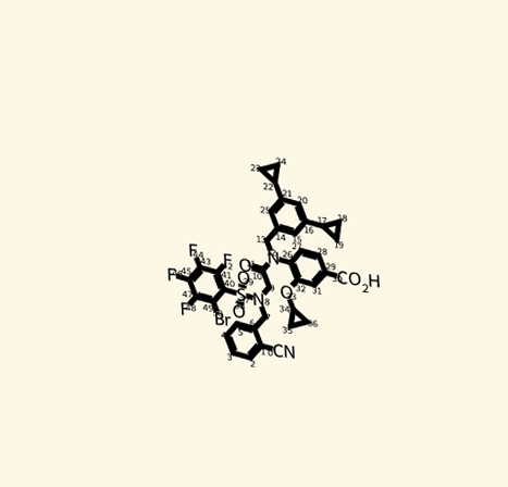 N#Cc1ccccc1CN(CC(=O)N(Cc1cc(C2CC2)cc(C2CC2)c1)c1ccc(C(=O)O)cc1OC1CC1)S(=O)(=O)c1c(F)c(F)c(F)c(F)c1Br